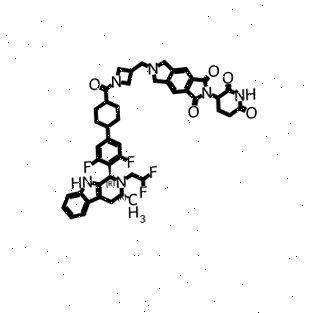 C[C@@H]1Cc2c([nH]c3ccccc23)[C@@H](c2c(F)cc(C3CCC(C(=O)N4CC(CN5Cc6cc7c(cc6C5)C(=O)N(C5CCC(=O)NC5=O)C7=O)C4)CC3)cc2F)N1CC(F)F